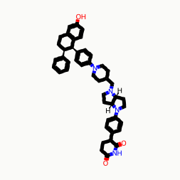 O=C1CCC(c2ccc(N3CC[C@H]4[C@@H]3CCN4CC3CCN(c4ccc([C@@H]5c6ccc(O)cc6CC[C@@H]5c5ccccc5)cc4)CC3)cc2)C(=O)N1